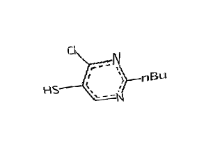 CCCCc1ncc(S)c(Cl)n1